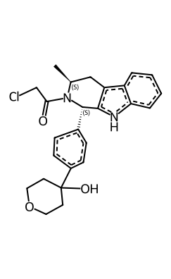 C[C@H]1Cc2c([nH]c3ccccc23)[C@H](c2ccc(C3(O)CCOCC3)cc2)N1C(=O)CCl